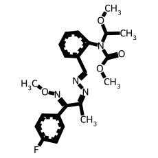 CON=C(C(C)=NN=Cc1ccccc1N(C(=O)OC)C(C)OC)c1ccc(F)cc1